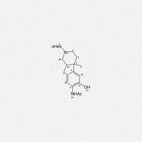 CCCCCCN1CCC(C)(c2ccc(NC(C)=O)c(O)c2)C(C)C1